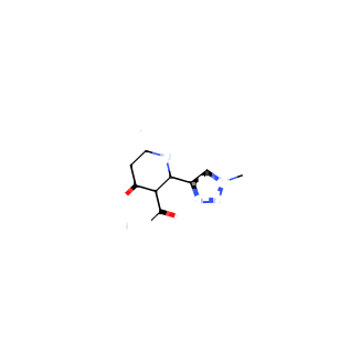 CC(C)COC(=O)C1C(=O)C[C@H](C)NC1c1cn(C)nn1